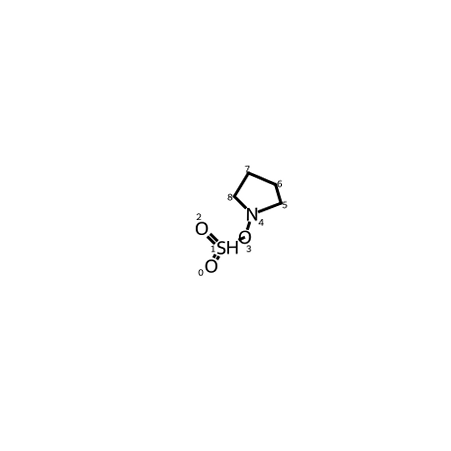 O=[SH](=O)ON1CCCC1